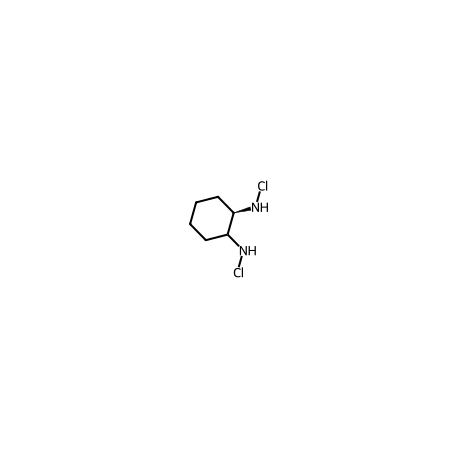 ClNC1CCCC[C@H]1NCl